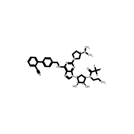 CCCN(C(=O)C(F)(F)F)[C@H]1C[C@@H](n2cnc3c(NCc4ccc(-c5ccccc5C#N)cc4)nc(N4CC[C@@H](N(C)C)C4)nc32)[C@H](O)[C@@H]1O